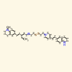 C=CC(/C=C/c1ccc2c(c1)CCCN2C)=C\C=N\CCSSCC[n+]1ccc(/C=C/c2ccc3c(c2)C=CCN3)cc1